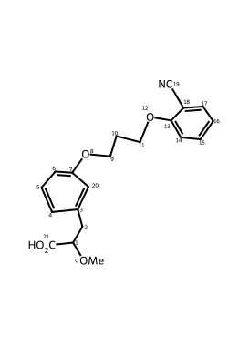 COC(Cc1cccc(OCCCOc2ccccc2C#N)c1)C(=O)O